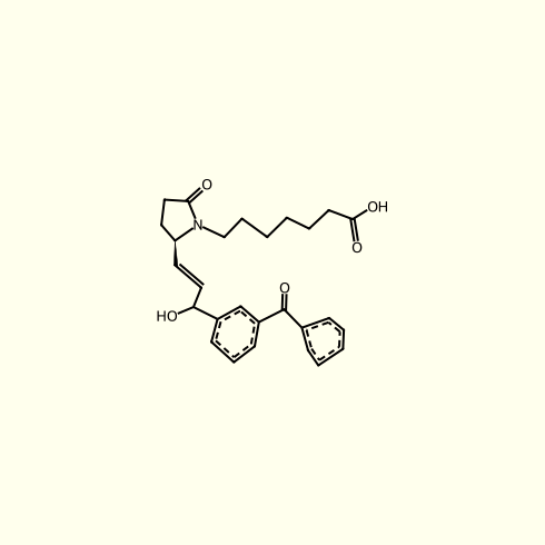 O=C(O)CCCCCCN1C(=O)CC[C@@H]1C=CC(O)c1cccc(C(=O)c2ccccc2)c1